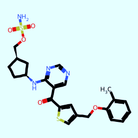 Cc1ccccc1OCc1csc(C(=O)c2cncnc2N[C@H]2CC[C@@H](COS(N)(=O)=O)C2)c1